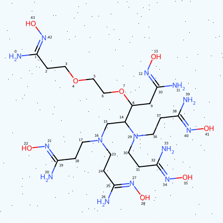 NC(CCOCCOC(CC(N)=NO)C(CN(CCC(N)=NO)CCC(N)=NO)N(CCC(N)=NO)CCC(N)=NO)=NO